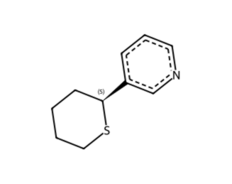 c1cncc([C@@H]2CCCCS2)c1